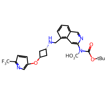 CC(C)(C)OC(=O)N(C(=O)O)c1cc2c(CN[C@H]3C[C@H](Oc4ccc(C(F)(F)F)nc4)C3)cccc2cn1